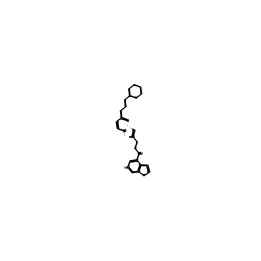 O=C(CCc1cn2cc(CCCC3CCCCC3)ccc2n1)c1cc(O)cc2c1C=CC2